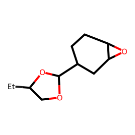 CCC1COC(C2CCC3OC3C2)O1